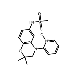 CC1(C)CN(c2cccc[n+]2[O-])c2cc(NS(C)(=O)=O)ccc2O1